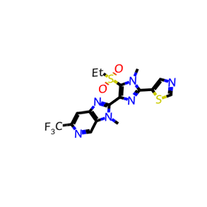 CCS(=O)(=O)c1c(-c2nc3cc(C(F)(F)F)ncc3n2C)nc(-c2cncs2)n1C